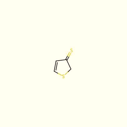 S=C1C=CSC1